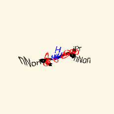 C=C(C)C(=O)Oc1cc(CCCCCCCCC)ccc1C(=O)OCCNC(=O)NCCOC(=O)c1ccc(CCCCCCCCC)cc1OC(=O)C(C)C